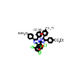 CCOC(=O)c1ccc(C2=NC(c3c(Cl)cc(Cl)cc3Cl)(n3c(-c4c(Cl)cc(Cl)cc4Cl)nc(-c4ccc(C(=O)OCC)cc4)c3-c3ccc(C(=O)OCC)cc3)N=C2c2ccc(C(=O)OCC)cc2)cc1